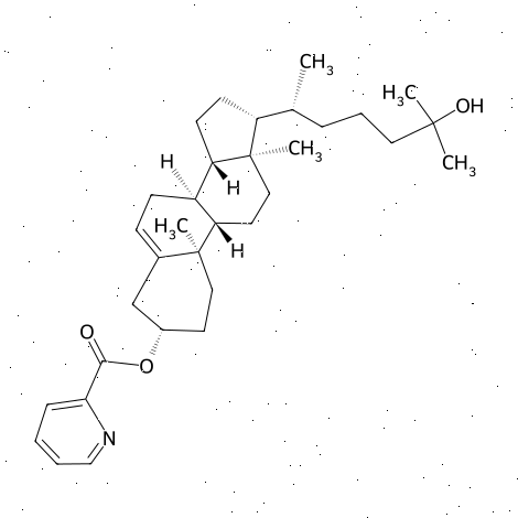 C[C@H](CCCC(C)(C)O)[C@H]1CC[C@H]2[C@@H]3CC=C4C[C@@H](OC(=O)c5ccccn5)CC[C@]4(C)[C@H]3CC[C@]12C